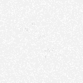 C=C(/C=C\C=C/C(=C)CCC(O)CNC(=O)C(=C)C)CN